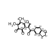 CC1=C(C)c2occ(C(=O)c3ccc4c(c3)CCO4)c2C(=O)C1=O